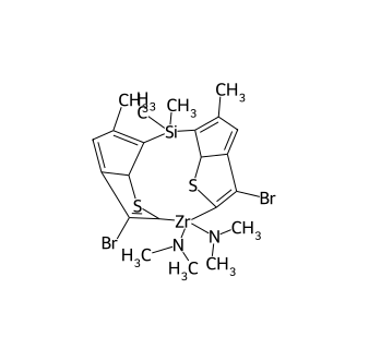 CC1=C2C3S[C](=C(Br)C3=C1)[Zr]([N](C)C)([N](C)C)[C]1=C(Br)C3=CC(C)=C(C3S1)[Si]2(C)C